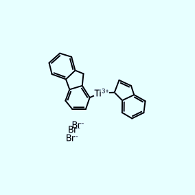 C1=C[CH]([Ti+3][c]2cccc3c2Cc2ccccc2-3)c2ccccc21.[Br-].[Br-].[Br-]